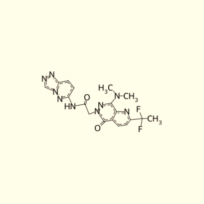 CN(C)c1nn(CC(=O)Nc2ccc3nncn3n2)c(=O)c2ccc(C(C)(F)F)nc12